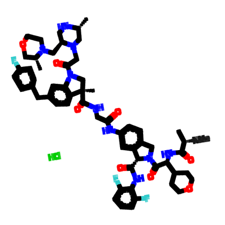 CN[C@@H](C)C(=O)N[C@H](C(=O)N1Cc2ccc(NC(=O)CNC(=O)[C@]3(C)CN(C(=O)CN4C[C@@H](C)NC[C@@H]4CN4CCOC[C@H]4C)c4cc(Cc5ccc(F)cc5)ccc43)cc2[C@H]1C(=O)Nc1c(F)cccc1F)C1CCOCC1.Cl